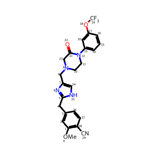 COc1cc(Cc2nc(CN3CCN(c4cccc(OC(F)(F)F)c4)C(=O)C3)c[nH]2)ccc1C#N